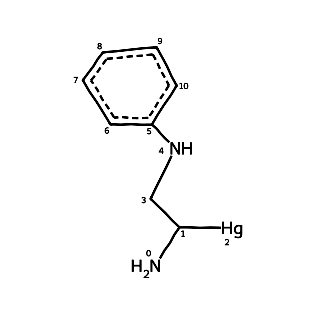 N[CH]([Hg])CNc1ccccc1